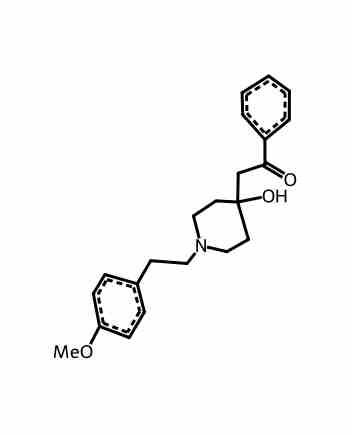 COc1ccc(CCN2CCC(O)(CC(=O)c3ccccc3)CC2)cc1